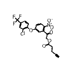 C#CCCC(=O)OCC(=O)c1cc(Oc2ccc(C(F)(F)F)cc2Cl)ccc1[N+](=O)[O-]